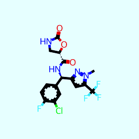 Cn1nc([C@H](NC(=O)[C@@H]2CNC(=O)O2)c2ccc(F)c(Cl)c2)cc1C(F)(F)F